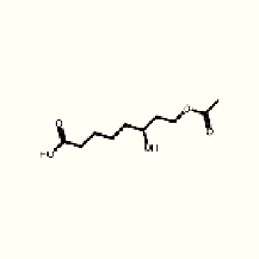 CC(=O)OCCC(O)CCCCC(=O)O